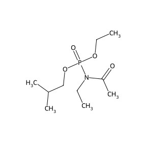 CCOP(=O)(OCC(C)C)N(CC)C(C)=O